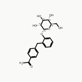 NC(=O)c1ccc(Cc2ccccc2O[C@H]2O[C@H](CO)[C@@H](O)[C@H](O)[C@H]2O)cc1